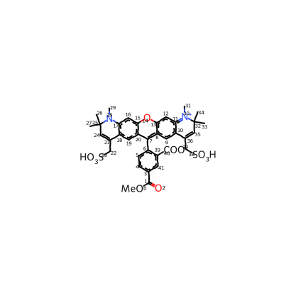 COC(=O)c1ccc(C2=c3cc4c(cc3Oc3cc5c(cc32)C(CS(=O)(=O)O)=CC(C)(C)N5C)=[N+](C)C(C)(C)C=C4CS(=O)(=O)O)c(C(=O)[O-])c1